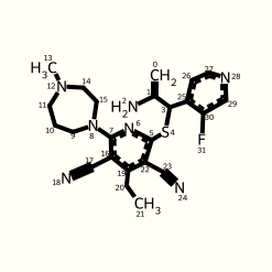 C=C(N)C(Sc1nc(N2CCCN(C)CC2)c(C#N)c(CC)c1C#N)c1ccncc1F